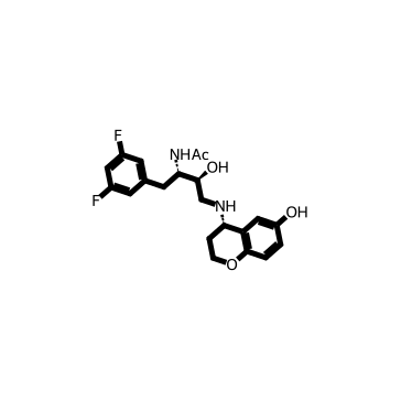 CC(=O)N[C@@H](Cc1cc(F)cc(F)c1)[C@@H](O)CN[C@H]1CCOc2ccc(O)cc21